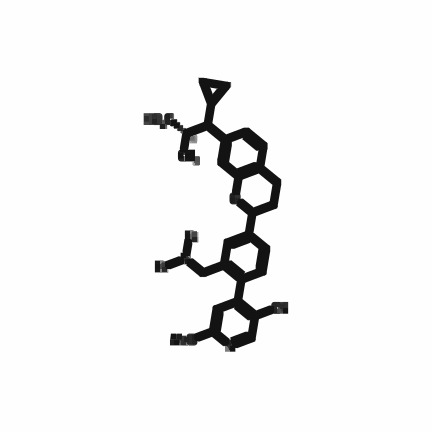 CCN(CC)Cc1cc(C2CCc3ccc(C(C4CC4)[C@H](C)C(=O)O)cc3O2)ccc1-c1cc(OC)ncc1C#N